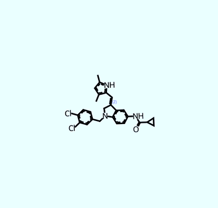 Cc1cc(C)c(/C=C2\CN(Cc3ccc(Cl)c(Cl)c3)c3ccc(NC(=O)C4CC4)cc32)[nH]1